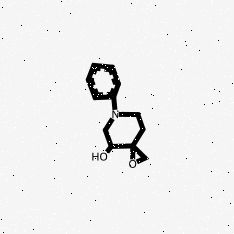 OC1CN(c2ccccc2)CCC12CO2